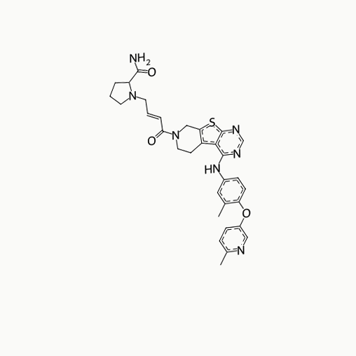 Cc1ccc(Oc2ccc(Nc3ncnc4sc5c(c34)CCN(C(=O)/C=C/CN3CCCC3C(N)=O)C5)cc2C)cn1